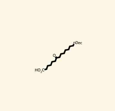 CCCCCCCCCCCCCCCCCC(=O)CCCCCC(=O)O